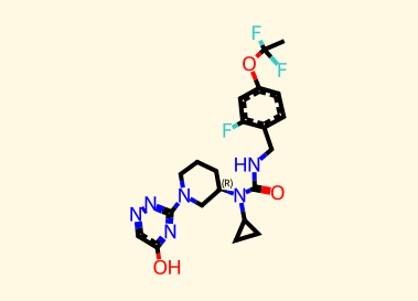 CC(F)(F)Oc1ccc(CNC(=O)N(C2CC2)[C@@H]2CCCN(c3nncc(O)n3)C2)c(F)c1